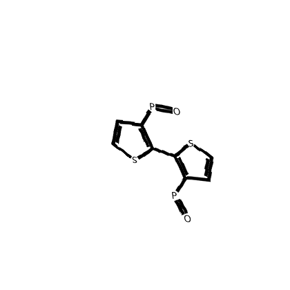 O=Pc1ccsc1-c1sccc1P=O